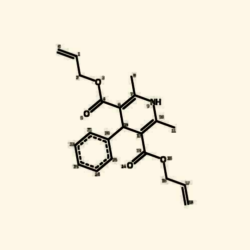 C=CCOC(=O)C1=C(C)NC(C)=C(C(=O)OCC=C)C1c1ccccc1